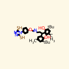 Cc1cc(C(CC/N=C/Oc2ccc(-n3c(S)nnc3S)cc2)c2cc(C)cc(C(C)(C)C)c2O)c(O)c(C(C)(C)C)c1